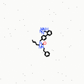 C/C=C/Cc1nn(CCc2ccccc2)c(=O)n1Cc1ccc(-c2ccccc2-c2nnn[nH]2)cc1